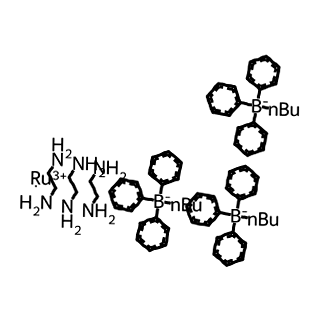 CCCC[B-](c1ccccc1)(c1ccccc1)c1ccccc1.CCCC[B-](c1ccccc1)(c1ccccc1)c1ccccc1.CCCC[B-](c1ccccc1)(c1ccccc1)c1ccccc1.NCCN.NCCN.NCCN.[Ru+3]